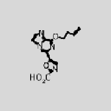 C=CCCOc1nc(-c2cnc(C(=O)O)o2)cn2ccnc12